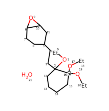 CCOC1(CCC2CCC3OC3C2)CCCC[Si]1(OCC)OCC.O